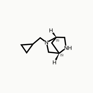 C1CC1CN1C[C@@H]2C[C@H]1CN2